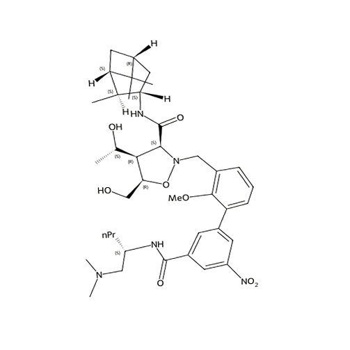 CCC[C@@H](CN(C)C)NC(=O)c1cc(-c2cccc(CN3O[C@@H](CO)[C@@H]([C@H](C)O)[C@H]3C(=O)N[C@H]3C[C@H]4C[C@@H]([C@@H]3C)C4(C)C)c2OC)cc([N+](=O)[O-])c1